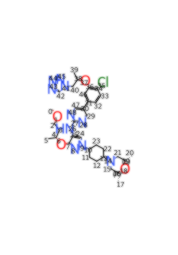 COCCC(C)Oc1nn(C2CCC(N3C[C@@H](C)O[C@@H](C)C3)CC2)cc1Nc1ncc(-c2ccc(Cl)c(OC(C)Cn3cnnn3)c2)cn1